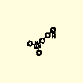 C1=CCNC(C2=CC=C(c3ccc(-c4nc(-c5ccccc5)nc(-c5ccccc5)n4)cc3)CC2)=C1